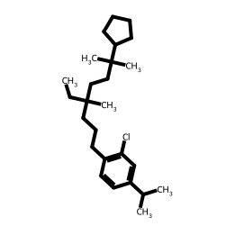 CCC(C)(CCCc1ccc(C(C)C)cc1Cl)CCC(C)(C)C1CCCC1